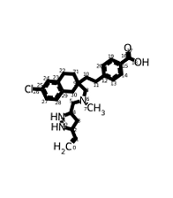 C=CC1CC(CN(C)CC2(CCc3ccc(C(=O)O)cc3)CCc3cc(Cl)ccc3C2)NN1